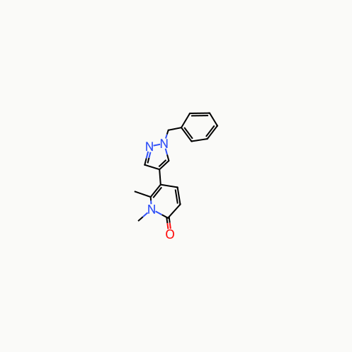 Cc1c(-c2cnn(Cc3ccccc3)c2)ccc(=O)n1C